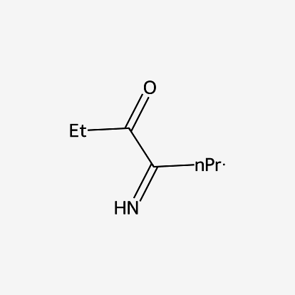 CC[CH]C(=N)C(=O)CC